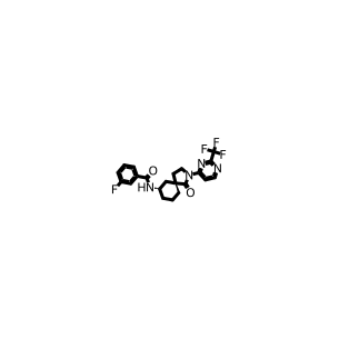 O=C(N[C@H]1CCC[C@]2(CCN(c3ccnc(C(F)(F)F)n3)C2=O)C1)c1cccc(F)c1